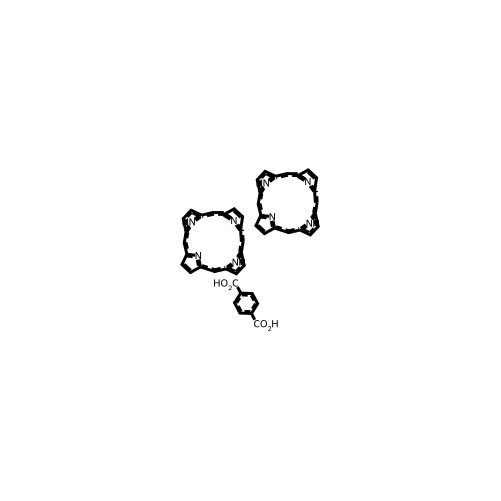 C1=Cc2cc3ccc(cc4nc(cc5ccc(cc1n2)[nH]5)C=C4)[nH]3.C1=Cc2cc3ccc(cc4nc(cc5ccc(cc1n2)[nH]5)C=C4)[nH]3.O=C(O)c1ccc(C(=O)O)cc1